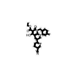 CCOC(=O)c1c(O)c2cc(-c3ccc(C#N)cn3)cnc2n(Cc2ccc(F)cc2)c1=O